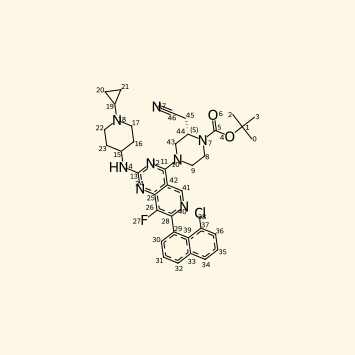 CC(C)(C)OC(=O)N1CCN(c2nc(NC3CCN(C4CC4)CC3)nc3c(F)c(-c4cccc5cccc(Cl)c45)ncc23)C[C@@H]1CC#N